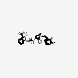 CC1C[C@H](NC(=O)Cn2nc(C(N)=O)c3ccccc32)C(=O)N1Cc1cccc(Cl)c1F